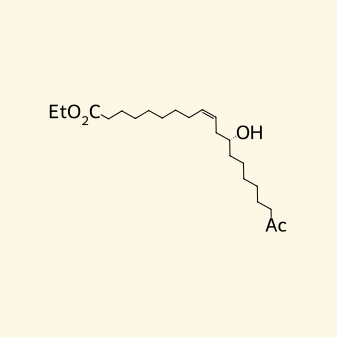 CCOC(=O)CCCCCCC/C=C\C[C@H](O)CCCCCCC(C)=O